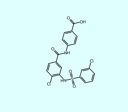 O=C(O)c1ccc(NC(=O)c2ccc(Cl)c(NS(=O)(=O)c3cccc(Cl)c3)c2)cc1